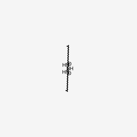 CC(C)CCCCCCCCCCCCCCC(=O)NCCNCCNC(=O)CCCCCCCCCCCCCCC(C)C